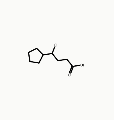 O=C(O)CCC(Cl)C1CCCC1